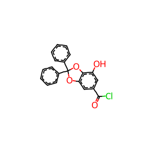 O=C(Cl)c1cc(O)c2c(c1)OC(c1ccccc1)(c1ccccc1)O2